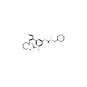 O=C(C[C@]1(c2sccc2-c2cccc(NC(=O)NCC3CCCCC3)c2)CCCCS1(=O)=O)NO